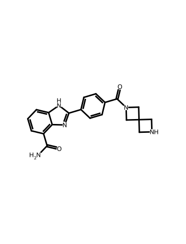 NC(=O)c1cccc2[nH]c(-c3ccc(C(=O)N4CC5(CNC5)C4)cc3)nc12